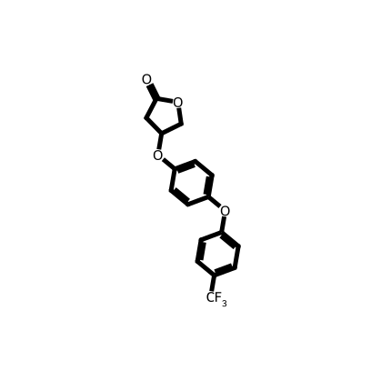 O=C1CC(Oc2ccc(Oc3ccc(C(F)(F)F)cc3)cc2)CO1